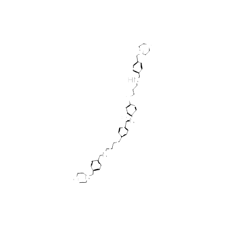 c1cc(-c2nc3ccc(OCCCNCc4ccc(CN5CCOCC5)cc4)cc3o2)ccc1CCCCNCc1ccc(CN2CCOCC2)cc1